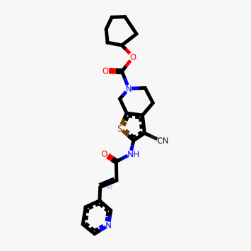 N#Cc1c(NC(=O)/C=C/c2cccnc2)sc2c1CCN(C(=O)OC1CCCCC1)C2